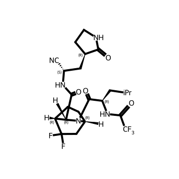 CC(C)C[C@@H](NC(=O)C(F)(F)F)C(=O)N1[C@@H]2CC[C@H]([C@@H]1C(=O)N[C@H](C#N)C[C@H]1CCNC1=O)C(F)(F)C2